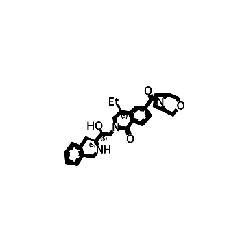 CC[C@@H]1CN(C[C@H](O)[C@@H]2Cc3ccccc3CN2)C(=O)c2ccc(C(=O)N3C4CCC3COC4)cc21